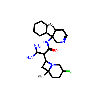 CCCCC12CCC(Cl)CN1C(C(C(=O)NC1(C3CCCCC3)CN=CCC1OC)C(N)N)C2